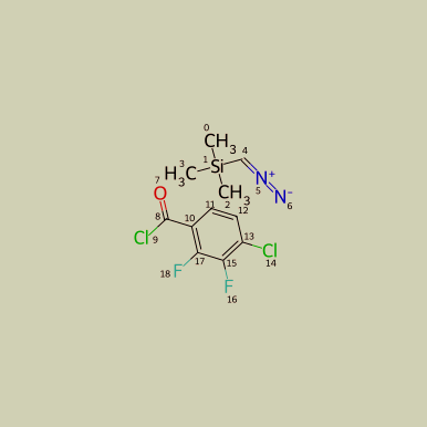 C[Si](C)(C)C=[N+]=[N-].O=C(Cl)c1ccc(Cl)c(F)c1F